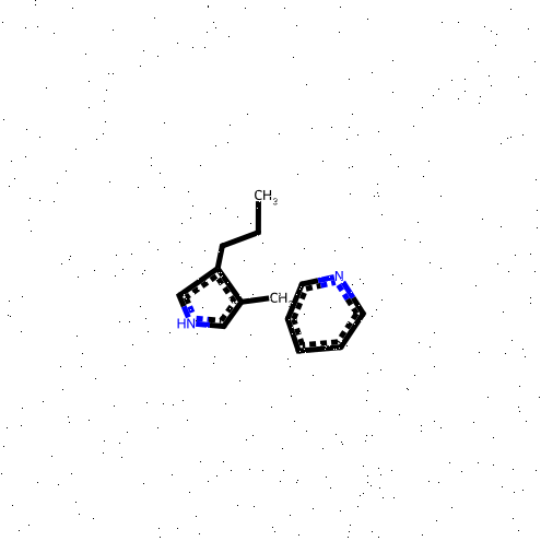 CCCc1c[nH]cc1C.c1ccncc1